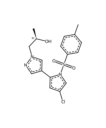 Cc1ccc(S(=O)(=O)n2cc(Cl)cc2-c2cnn(C[C@@H](C)O)c2)cc1